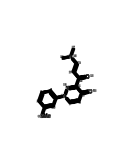 CSc1cccc(-n2ccc(=O)c(C(=O)C=CN(C)C)n2)c1